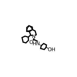 O=C(CN[C@H]1CC[C@H](O)CC1)N1CCc2ccccc2C1C1CCCCC1